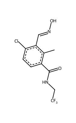 Cc1c(C(=O)NCC(F)(F)F)ccc(Cl)c1C=NO